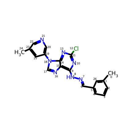 Cc1cccc(C=NNc2nc(Cl)nc3c2ncn3-c2cncc(C)c2)c1